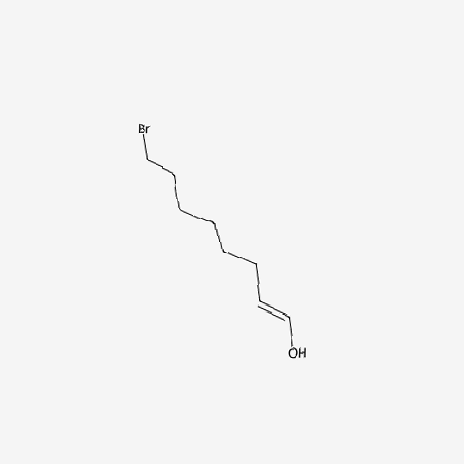 OC=CCCCCCCBr